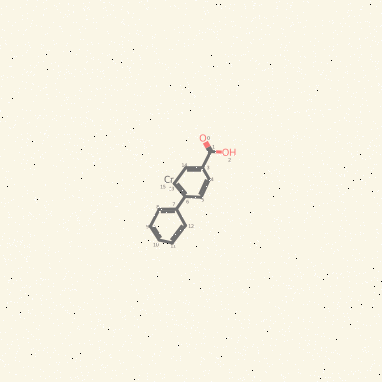 O=C(O)c1ccc(-c2ccccc2)cc1.[Cr]